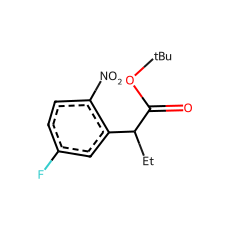 CCC(C(=O)OC(C)(C)C)c1cc(F)ccc1[N+](=O)[O-]